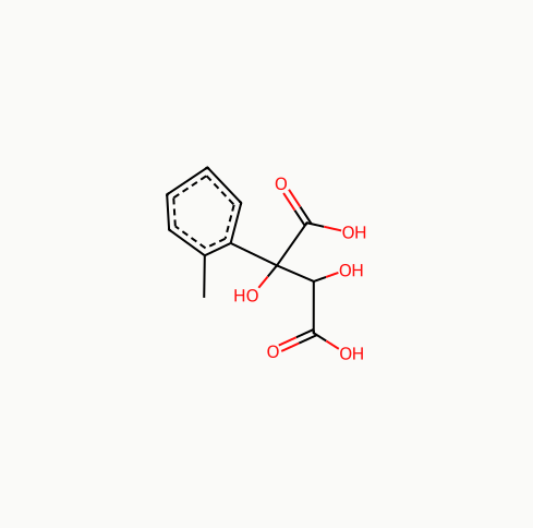 Cc1ccccc1C(O)(C(=O)O)C(O)C(=O)O